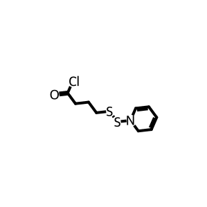 O=C(Cl)CCCSSN1C=CC=CC1